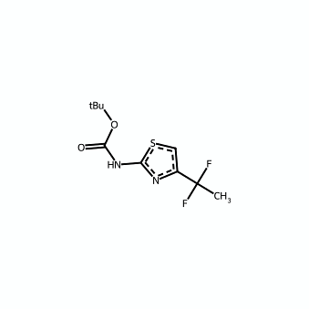 CC(C)(C)OC(=O)Nc1nc(C(C)(F)F)cs1